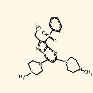 CCc1nn2c(N3CCN(C)CC3)cc(N3CCN(C)CC3)nc2c1S(=O)(=O)c1ccccc1